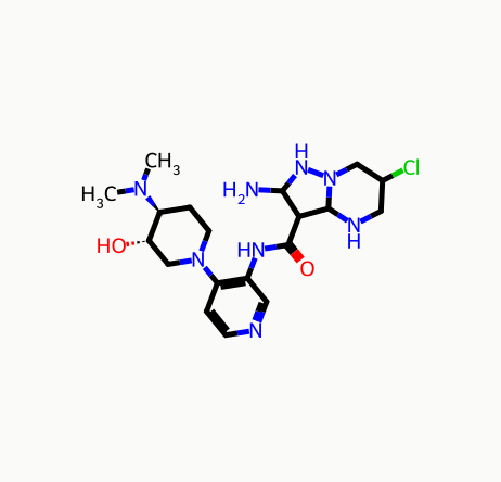 CN(C)[C@H]1CCN(c2ccncc2NC(=O)C2C(N)NN3CC(Cl)CNC23)C[C@@H]1O